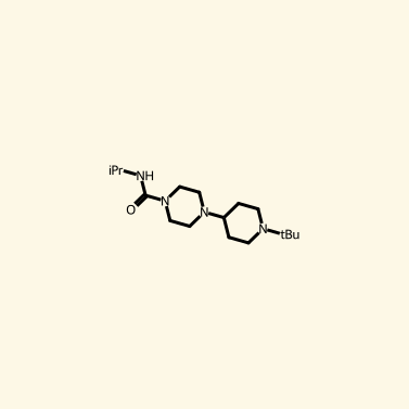 CC(C)NC(=O)N1CCN(C2CCN(C(C)(C)C)CC2)CC1